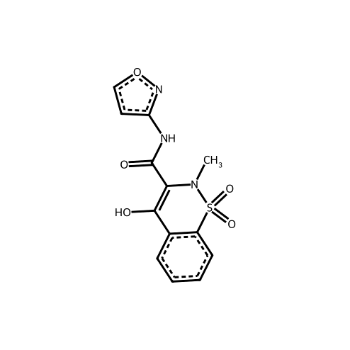 CN1C(C(=O)Nc2ccon2)=C(O)c2ccccc2S1(=O)=O